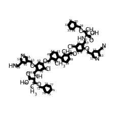 Cc1c(COc2cc(OCc3cncc(C#N)c3)c(CN[C@@H](C(=O)O)[C@H](C)OCc3ccccc3)cc2Cl)cccc1-c1cccc(COc2cc(OCc3cncc(C=N)c3)c(CN[C@@H](C(=O)O)[C@H](C)OCc3ccccc3)cc2Cl)c1C